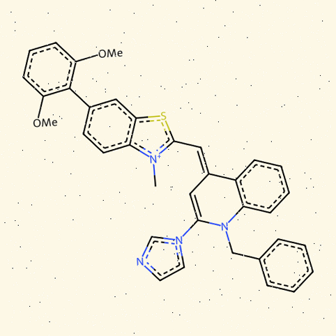 COc1cccc(OC)c1-c1ccc2c(c1)sc(C=C1C=C(n3ccnc3)N(Cc3ccccc3)c3ccccc31)[n+]2C